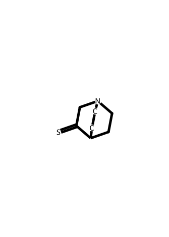 S=C1CN2CCC1CC2